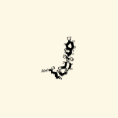 CNC(=O)Cc1csc(CN2CCN(S(=O)(=O)c3cc4ccc(Cl)cc4s3)CC2=O)n1